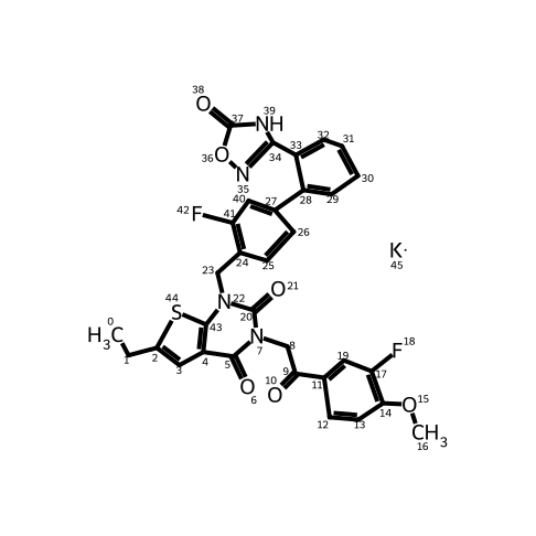 CCc1cc2c(=O)n(CC(=O)c3ccc(OC)c(F)c3)c(=O)n(Cc3ccc(-c4ccccc4-c4noc(=O)[nH]4)cc3F)c2s1.[K]